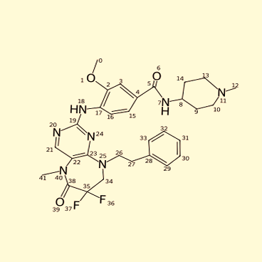 COc1cc(C(=O)NC2CCN(C)CC2)ccc1Nc1ncc2c(n1)N(CCc1ccccc1)CC(F)(F)C(=O)N2C